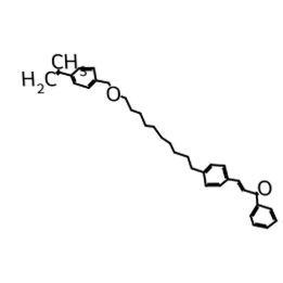 C=C(C)c1ccc(COCCCCCCCCCCc2ccc(C=CC(=O)c3ccccc3)cc2)cc1